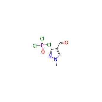 Cn1cc(C=O)cn1.O=P(Cl)(Cl)Cl